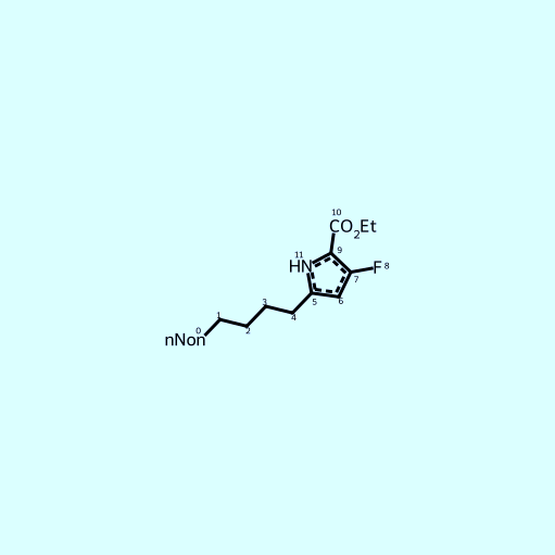 CCCCCCCCCCCCCc1cc(F)c(C(=O)OCC)[nH]1